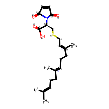 CC(C)=CCC/C(C)=C/CC/C(C)=C/CSC[C@@H](C(=O)O)N1C(=O)C=CC1=O